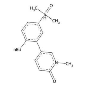 CCCCc1ccc([SH](C)(C)=O)cc1-c1ccc(=O)n(C)c1